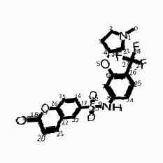 CN1CC[C@@H](Oc2cc(NS(=O)(=O)c3ccc4oc(=O)ccc4c3)ccc2C(F)(F)F)C1